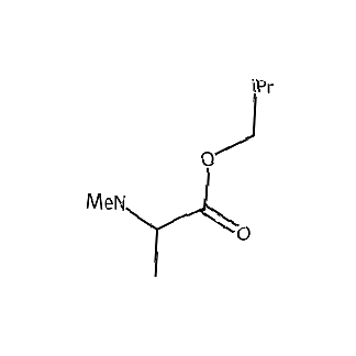 CNC(C)C(=O)OCC(C)C